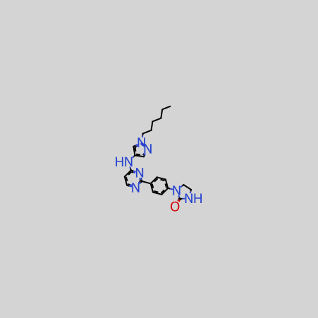 CCCCCCn1cc(Nc2ccnc(-c3ccc(N4CCNC4=O)cc3)n2)cn1